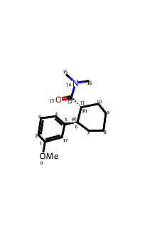 COc1cccc([C@@H]2CCCC[C@H]2C(=O)N(C)C)c1